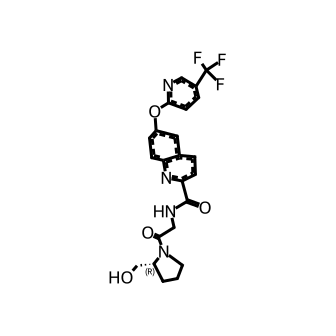 O=C(NCC(=O)N1CCC[C@@H]1CO)c1ccc2cc(Oc3ccc(C(F)(F)F)cn3)ccc2n1